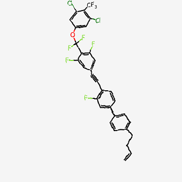 C=CCCc1ccc(-c2ccc(C#Cc3cc(F)c(C(F)(F)Oc4cc(Cl)c(C(F)(F)F)c(Cl)c4)c(F)c3)c(F)c2)cc1